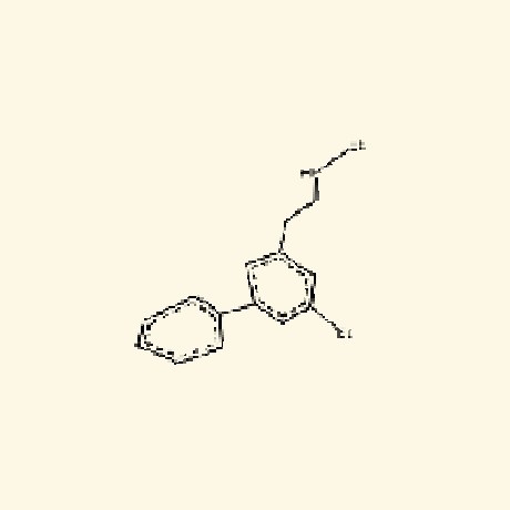 CCPCCc1cc(CC)cc(-c2ccccc2)c1